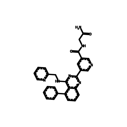 NC(=O)CNC(=O)c1cncc(-c2nc(NCc3ccccn3)c3c(-c4ccccc4)cccc3n2)c1